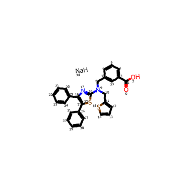 O=C(O)c1cccc(CN(Cc2cccs2)c2nc(-c3ccccc3)c(-c3ccccc3)s2)c1.[NaH]